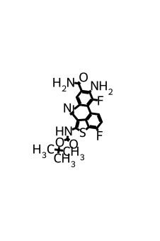 CC(C)(C)OC(=O)Nc1sc2c(F)ccc(-c3c(I)cc(C(N)=O)c(N)c3F)c2c1C#N